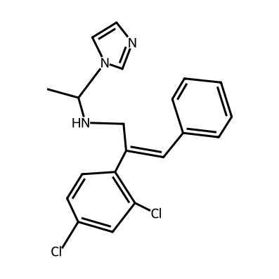 CC(NCC(=Cc1ccccc1)c1ccc(Cl)cc1Cl)n1ccnc1